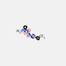 Cn1c(=O)n(C(=O)NCCN2CCN(c3cccc(C(F)(F)F)c3)CC2)c2ccccc21